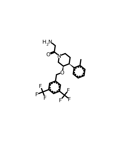 Cc1ccccc1[C@@H]1CCN(C(=O)CN)C[C@@H]1OCc1cc(C(F)(F)F)cc(C(F)(F)F)c1